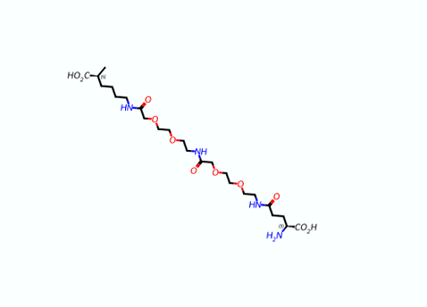 C[C@@H](CCCCNC(=O)COCCOCCNC(=O)COCCOCCNC(=O)CC[C@H](N)C(=O)O)C(=O)O